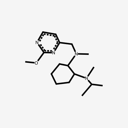 COc1nccc(CN(C)C2CCCCC2N(C)C(C)C)n1